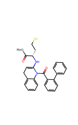 COC(=O)[C@H](CCS)NC1=CCc2ccccc2N1C(=O)c1ccccc1-c1ccccc1